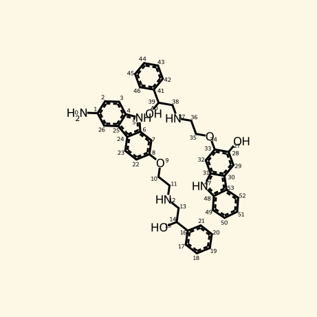 Nc1ccc2[nH]c3cc(OCCNCC(O)c4ccccc4)ccc3c2c1.Oc1cc2c(cc1OCCNCC(O)c1ccccc1)[nH]c1ccccc12